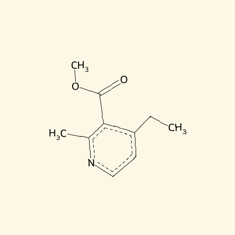 CCc1ccnc(C)c1C(=O)OC